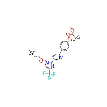 COC(=O)C1(COc2ccc(-c3ccc(-c4nc(C(F)(F)F)cn4COCC[Si](C)(C)C)cn3)cc2)CC1